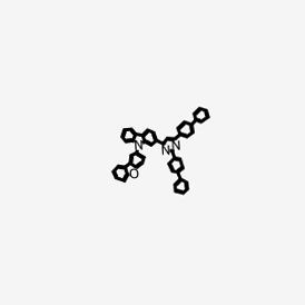 c1ccc(-c2ccc(-c3cc(-c4ccc5c6ccccc6n(-c6ccc7oc8ccccc8c7c6)c5c4)nc(-c4ccc(-c5ccccc5)cc4)n3)cc2)cc1